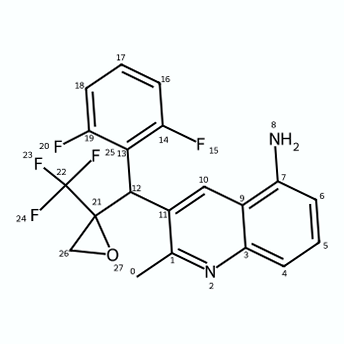 Cc1nc2cccc(N)c2cc1C(c1c(F)cccc1F)C1(C(F)(F)F)CO1